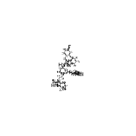 Cl.Cl.Cl.Fc1ccc(Cn2c(NC3CCN(CCn4c(=S)[nH]c5cncnc54)CC3)nc3ccccc32)cc1.O.O